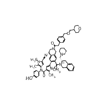 Cc1c(N(C(=O)c2cc(-c3cc4c(cc3C(=O)N3Cc5ccccc5C[C@H]3CN3CCCCC3)CN(C(=O)Cc3ccc(COCC5CCOCC5)cc3)CC4)n(C)c2C)c2ccc(O)cc2)cc(C#N)n1C